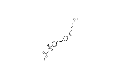 CCOC(=O)CCS(=O)(=O)c1ccc(C=Cc2ccc(N(C)CCCCCCO)cc2)cc1